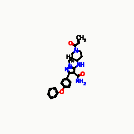 C=CC(=O)N1CCC2Nc3c(C(N)=O)c(-c4ccc(Oc5ccccc5)cc4)nn3C[C@@H]2C1